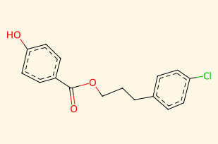 O=C(OCCCc1ccc(Cl)cc1)c1ccc(O)cc1